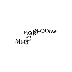 COc1ccc(-c2cn(CC(O)c3ccc(OC)cc3)nn2)cc1